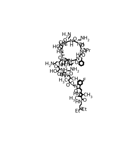 CCN(CC)CCNC(=O)c1c(C)[nH]c(/C=C2\C(=O)N(COC(=O)C(C)C(C)C(=O)N[C@@H](CCN)C(=O)N[C@H](C(=O)N[C@@H](CCN)C(=O)N[C@H]3CCNC(=O)[C@H]([C@@H](C)O)NC(=O)[C@H](CCN)NC(=O)[C@H](CCN)NC(=O)[C@H](CC(C)C)NC(=O)[C@@H](Cc4ccccc4)NC(=O)[C@H](CCN)NC3=O)[C@@H](C)O)c3ccc(F)cc32)c1C